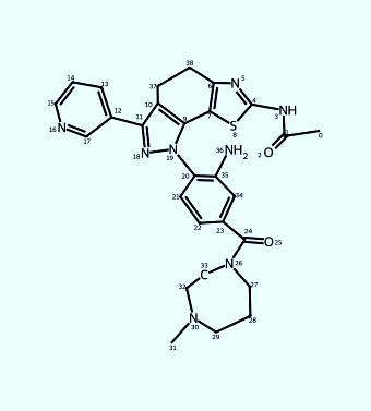 CC(=O)Nc1nc2c(s1)-c1c(c(-c3cccnc3)nn1-c1ccc(C(=O)N3CCCN(C)CC3)cc1N)CC2